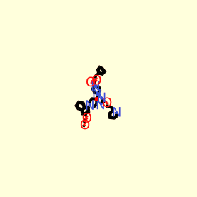 COCOc1cc(N2CCc3c(nc(OCCc4ccccn4)nc3N3CCN(C(=O)OCc4ccccc4)CC3)C2)c2ccccc2c1